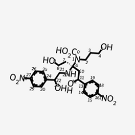 O=C(O)N(CCCO)[C@@](CCO)(CC(O)c1ccc([N+](=O)[O-])cc1)NCC(O)c1ccc([N+](=O)[O-])cc1